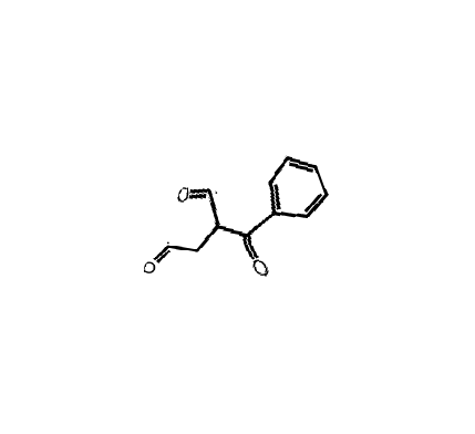 O=[C]CC([C]=O)C(=O)c1ccccc1